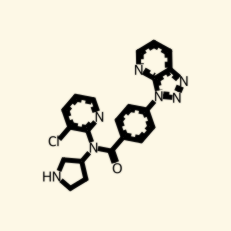 O=C(c1ccc(-n2nnc3cccnc32)cc1)N(c1ncccc1Cl)C1CCNC1